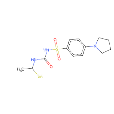 CC(S)NC(=O)NS(=O)(=O)c1ccc(N2CCCC2)cc1